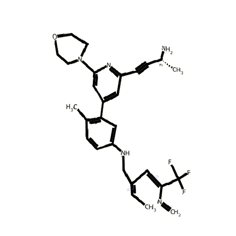 C=N/C(=C\C(=C/C)CNc1ccc(C)c(-c2cc(C#C[C@@H](C)N)nc(N3CCOCC3)c2)c1)C(F)(F)F